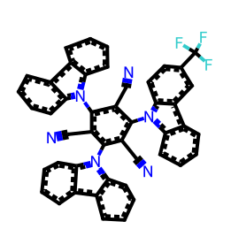 N#Cc1c(-n2c3ccccc3c3ccccc32)c(C#N)c(-n2c3ccccc3c3cc(C(F)(F)F)ccc32)c(C#N)c1-n1c2ccccc2c2ccccc21